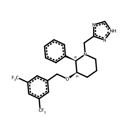 FC(F)(F)c1cc(CO[C@@H]2CCCN(Cc3nc[nH]n3)[C@@H]2c2ccccc2)cc(C(F)(F)F)c1